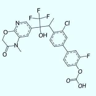 CC(c1ccc(-c2ccc(OC(=O)O)c(F)c2)cc1Cl)C(O)(c1cnc2c(c1)N(C)C(=O)CO2)C(F)(F)F